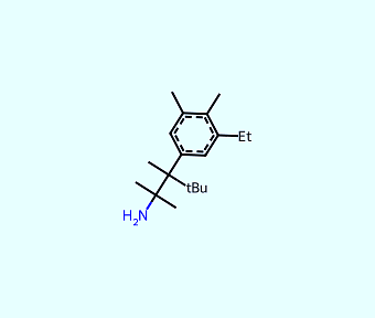 CCc1cc(C(C)(C(C)(C)C)C(C)(C)N)cc(C)c1C